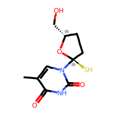 Cc1cn([C@@]2(S)CC[C@@H](CO)O2)c(=O)[nH]c1=O